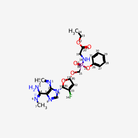 C=Nc1c(/C(N)=N\C)ncn1[C@@H]1O[C@H](OC[P@@](=O)(NCC(=O)OCC)Oc2ccccc2)C=C1F